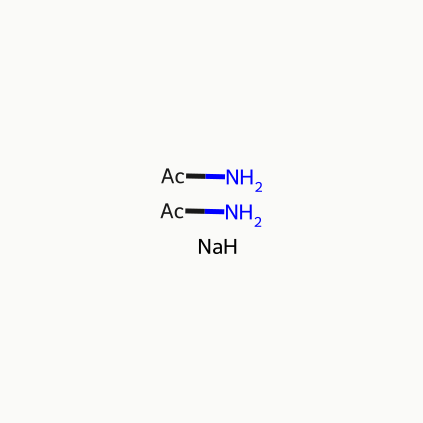 CC(N)=O.CC(N)=O.[NaH]